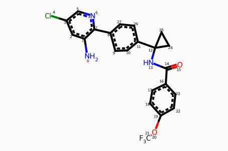 Nc1cc(Cl)cnc1-c1ccc(C2(NC(=O)c3ccc(OC(F)(F)F)cc3)CC2)cc1